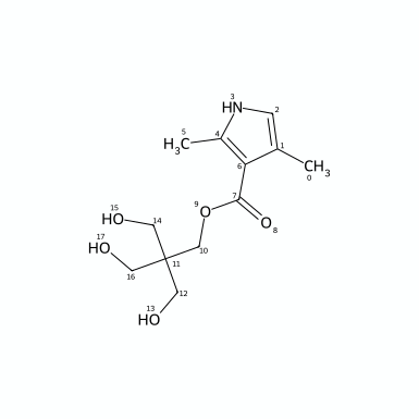 Cc1c[nH]c(C)c1C(=O)OCC(CO)(CO)CO